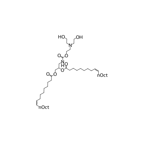 CCCCCCCC/C=C\CCCCCCCC(=O)OCC(CNC(=O)OCCN(CCO)CCO)OC(=O)CCCCCCC/C=C\CCCCCCCC